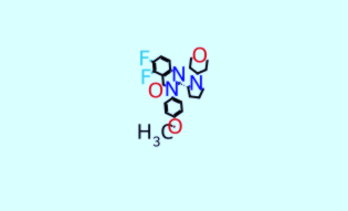 COc1ccc(-n2c([C@H]3CCCN3C3CCOCC3)nc3ccc(F)c(F)c3c2=O)cc1